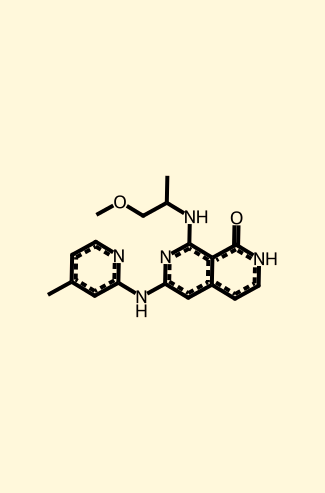 COCC(C)Nc1nc(Nc2cc(C)ccn2)cc2cc[nH]c(=O)c12